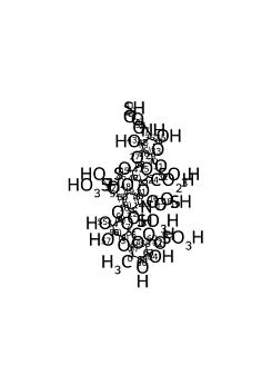 CC1[C@@H](O[C@@H]2C(C(=O)O)O[C@@H](O[C@H]3C(OS(=O)(=O)O)C(NOOOS)[C@@H](O[C@@H]4C(C(=O)O)O[C@@H](O[C@@H]5C(COS(=O)(=O)O)OC(O)C(NOOOS)[C@H]5O)C(OS(=O)(=O)O)[C@@H]4O)C[C@H]3COS(=O)(=O)O)C(O)[C@H]2O)OC(COS(=O)(=O)O)[C@@H](O)[C@@H]1O